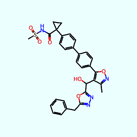 Cc1noc(-c2ccc(-c3ccc(C4(C(=O)NS(C)(=O)=O)CC4)cc3)cc2)c1C(O)c1nnc(Cc2ccccc2)o1